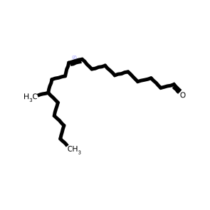 CCCCCC(C)CC/C=C\CCCCCCC[C]=O